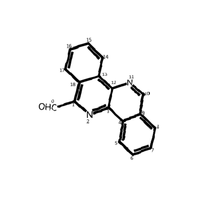 O=Cc1nc2c3ccccc3cnc2c2ccccc12